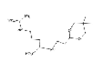 CC1(C)COC(CCNC(CCCNC(=N)N)C(=O)O)OC1